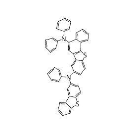 c1ccc(N(c2ccc3sc4ccccc4c3c2)c2ccc3sc4c5ccccc5c(N(c5ccccc5)c5ccccc5)cc4c3c2)cc1